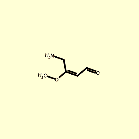 CO/C(=C/C=O)CN